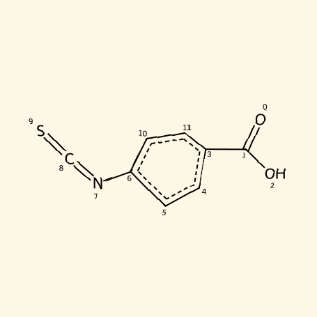 O=C(O)c1ccc(N=C=S)cc1